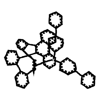 c1ccc(-c2ccc(N(c3ccc(-c4ccccc4)cc3)c3ccc4c(c3)C3(c5ccccc5-c5ccccc5-4)c4ccccc4-c4c3c3ccccc3c3ccccc43)cc2)cc1